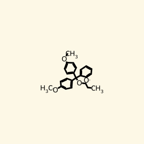 CCC([O])OC(c1ccccc1)(c1ccc(OC)cc1)c1ccc(OC)cc1